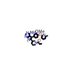 C=CC(=O)N1CCC=C(c2c(-c3ccc(Oc4cccc(C)n4)c(OC)c3)c3c(N)ncnc3n2C)C1